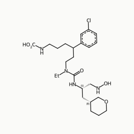 CCN(CCC(CCCNC(=O)O)c1cccc(Cl)c1)C(=O)N[C@H](CNO)C[C@H]1CCCOC1